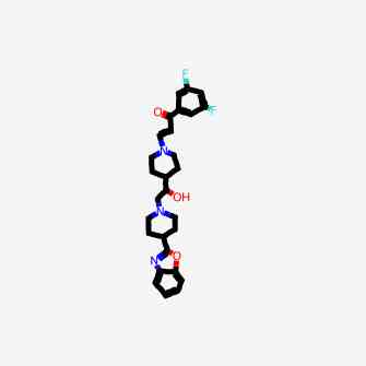 O=C(C=CN1CCC(C(O)CN2CCC(c3nc4ccccc4o3)CC2)CC1)c1cc(F)cc(F)c1